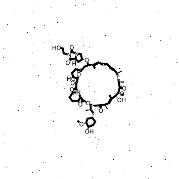 CO[C@@H]1C[C@H](C[C@@H](C)[C@@H]2CC(=O)[C@H](C)/C=C(\C)[C@@H](O)[C@@H](OC)C(=O)[C@H](C)C[C@H](C)/C=C/C=C/C=C(\C)C(O[C@@H]3C[C@H]4C(=O)N(CCO)C(=O)N4C3)C[C@@H]3CC[C@@H](C)[C@@](O)(O3)C(=O)C(=O)N3CCCC[C@H]3C(=O)O2)CC[C@H]1O